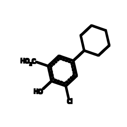 O=C(O)c1cc(C2CCCCC2)cc(Cl)c1O